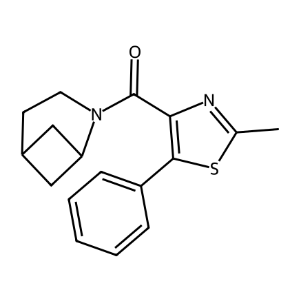 Cc1nc(C(=O)N2CCC3CC2C3)c(-c2ccccc2)s1